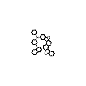 c1ccc(N(c2cccc(-c3cccc4ccccc34)c2)c2ccc3oc4ccc5c(ccc6oc7ccccc7c65)c4c3c2)cc1